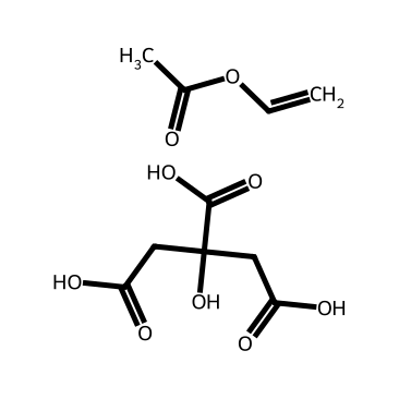 C=COC(C)=O.O=C(O)CC(O)(CC(=O)O)C(=O)O